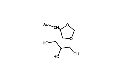 C1COCO1.CC(C)=O.OCC(O)CO